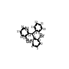 Brc1cccnc1C(c1ccccc1)c1ncccc1Br